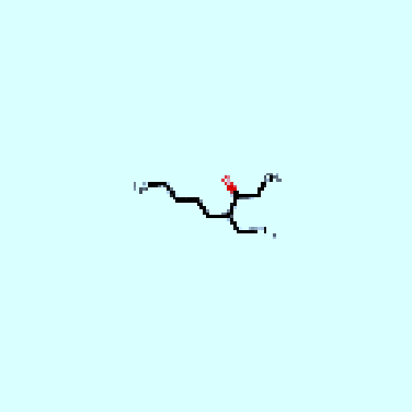 CCCCCC(CC)C(=O)CC